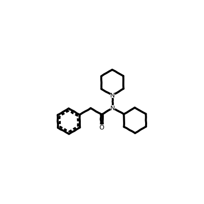 O=C(Cc1ccccc1)N(C1CCCCC1)N1CCCCC1